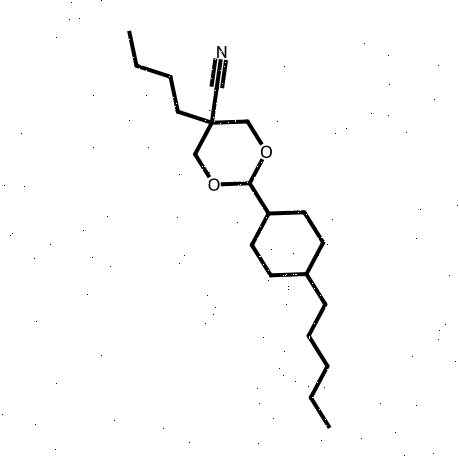 CCCCCC1CCC(C2OCC(C#N)(CCCC)CO2)CC1